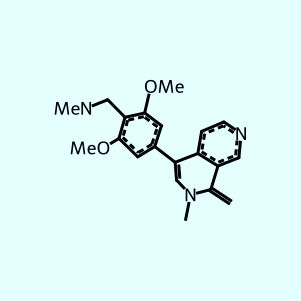 C=C1c2cnccc2C(c2cc(OC)c(CNC)c(OC)c2)=CN1C